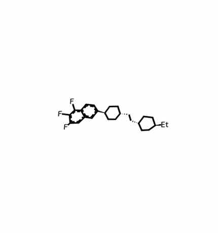 CC[C@H]1CC[C@H](CC[C@H]2CC[C@H](c3ccc4c(F)c(F)c(F)cc4c3)CC2)CC1